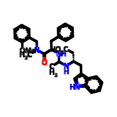 COc1ccccc1CN(C)C(=O)C(Cc1ccccc1)NC(C)N[C@H](CC(=O)O)Cc1c[nH]c2ccccc12